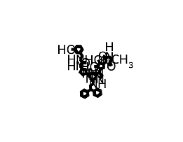 CC1NC(=O)N(C2CC(n3cnc4c(NCC(c5ccccc5)c5ccccc5)nc(N5CCC(NC(=O)NCc6cccc(O)c6)C5)nc43)C(O)C2O)C1=O